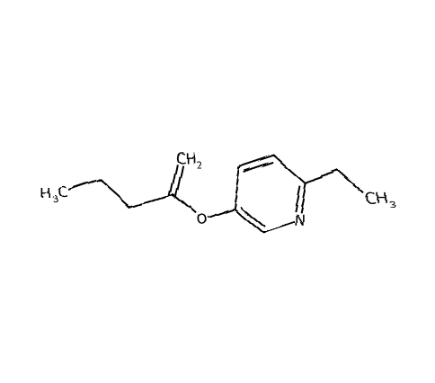 C=C(CCC)Oc1ccc(CC)nc1